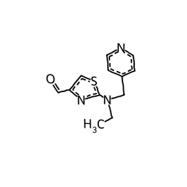 CCN(Cc1ccncc1)c1nc(C=O)cs1